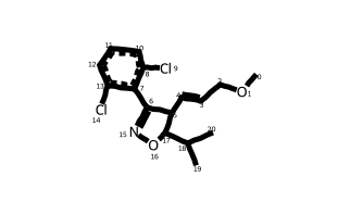 COC/C=C/C1C(c2c(Cl)cccc2Cl)=NOC1C(C)C